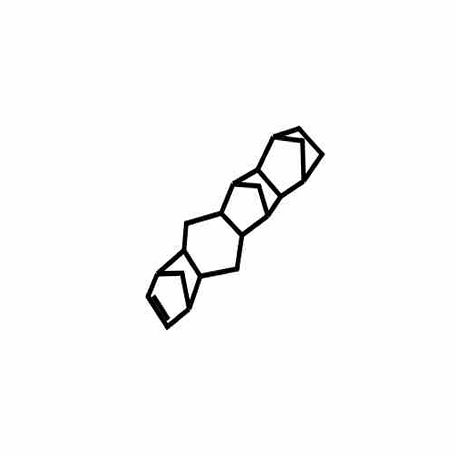 C1=CC2CC1C1CC3C(CC21)C1CC3C2C3CCC(C3)C12